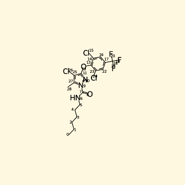 CCCCCCNC(=O)n1nc(Oc2c(Cl)cc(C(F)(F)F)cc2Cl)c(Cl)c1C